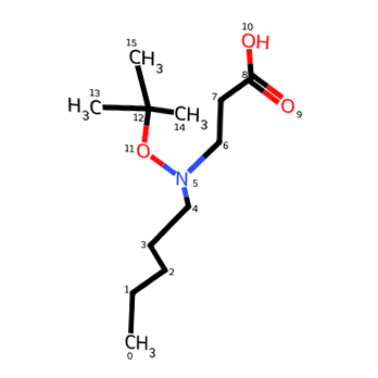 CCCCCN(CCC(=O)O)OC(C)(C)C